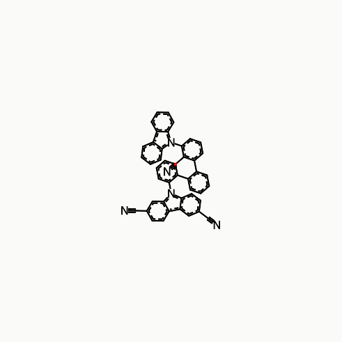 N#Cc1ccc2c(c1)c1ccc(C#N)cc1n2-c1ccccc1-c1ccccc1-c1cccc(-n2c3ccccc3c3ccccc32)c1C#N